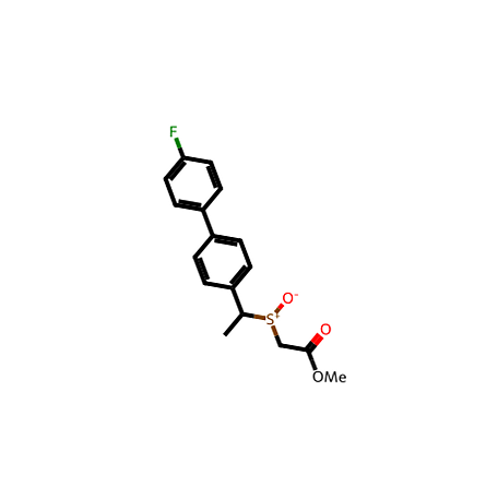 COC(=O)C[S+]([O-])C(C)c1ccc(-c2ccc(F)cc2)cc1